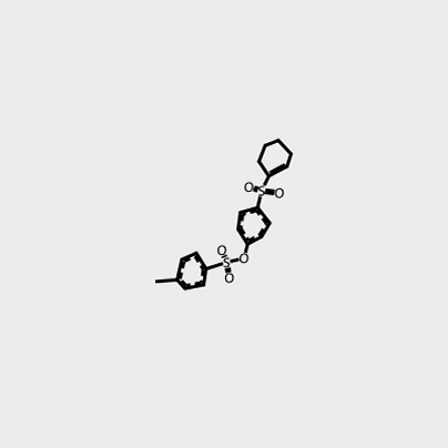 Cc1ccc(S(=O)(=O)Oc2ccc(S(=O)(=O)C3=CCCCC3)cc2)cc1